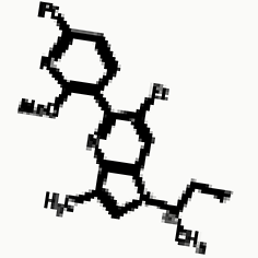 CCc1cc2c(nc1-c1ccc(C(C)C)nc1OC)c(C)cn2[C@@H](C)CF